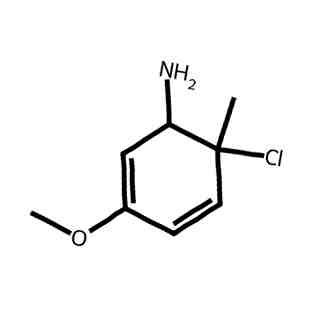 COC1=CC(N)C(C)(Cl)C=C1